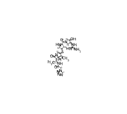 C[C@@H](NC(=O)Cn1cnnn1)[C@H]1C(=O)N2C=C(S[C@@H]3CN[C@H](C(=O)N4C[C@@H](O)[C@H](NC(=N)N)C4)C3)[C@H](C)[C@H]12